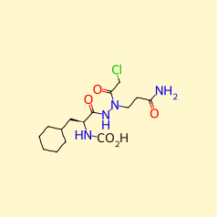 NC(=O)CCN(NC(=O)[C@H](CC1CCCCC1)NC(=O)O)C(=O)CCl